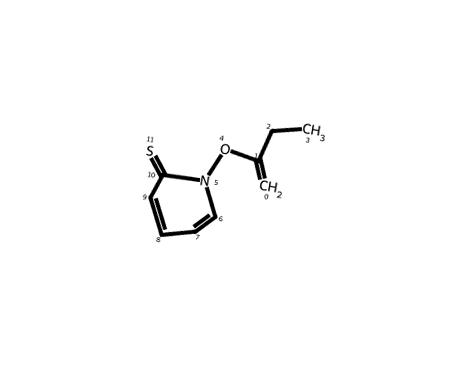 C=C(CC)On1ccccc1=S